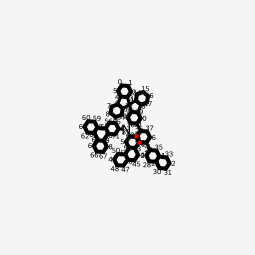 c1ccc2c(c1)-c1ccccc1C21c2ccccc2-c2cc(-c3ccc(-c4ccc5ccccc5c4)cc3)c(N(c3ccc4ccc5ccccc5c4c3)c3ccc4c5ccccc5c5ccccc5c4c3)cc21